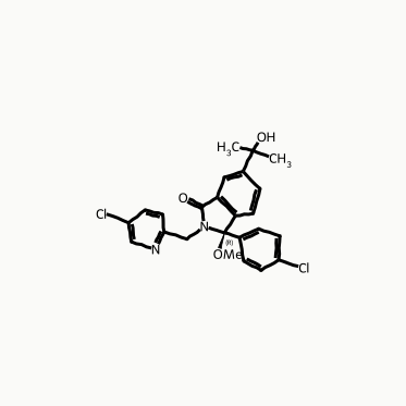 CO[C@]1(c2ccc(Cl)cc2)c2ccc(C(C)(C)O)cc2C(=O)N1Cc1ccc(Cl)cn1